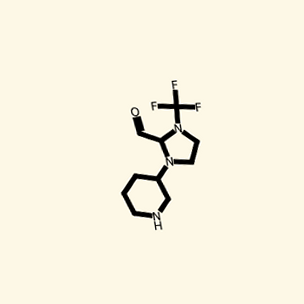 O=CC1N(C2CCCNC2)CCN1C(F)(F)F